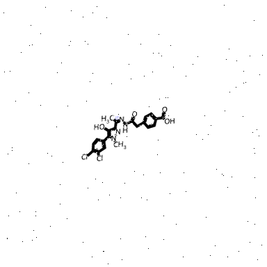 C/C(=N/NC(=O)Cc1ccc(C(=O)O)cc1)c1nn(C)c(-c2ccc(Cl)c(Cl)c2)c1O